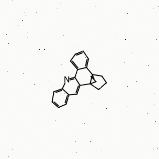 c1ccc2c(c1)-c1nc3ccccc3cc1C13CCCC21CCC3